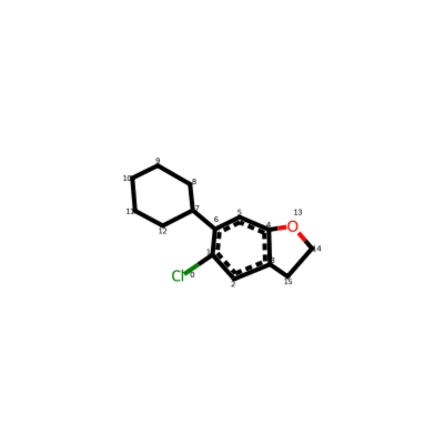 Clc1cc2c(cc1C1CCCCC1)OCC2